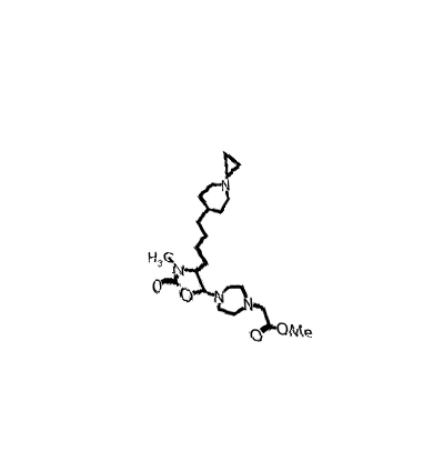 COC(=O)CN1CCN(C2OC(=O)N(C)C2CCCCC2CCN(C3CC3)CC2)CC1